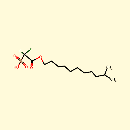 CC(C)CCCCCCCCCOC(=O)C(F)(F)S(=O)(=O)O